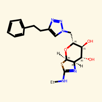 CCNC1=N[C@@H]2[C@@H](O)[C@H](O)[C@@H](Cn3cc(CCc4ccccc4)nn3)O[C@@H]2S1